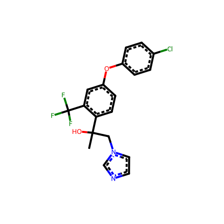 CC(O)(Cn1ccnc1)c1ccc(Oc2ccc(Cl)cc2)cc1C(F)(F)F